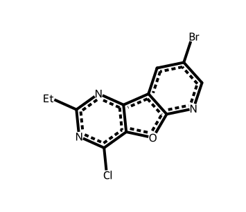 CCc1nc(Cl)c2oc3ncc(Br)cc3c2n1